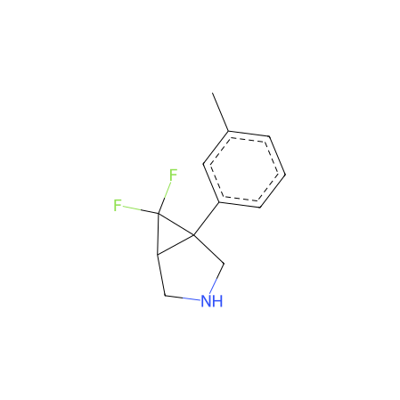 Cc1cccc(C23CNCC2C3(F)F)c1